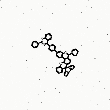 c1ccc(-c2nc(-c3ccc(-c4ccc5c(c4)nc(-c4ccccc4)c4ccc6c(c45)Oc4ccccc4C64c5ccccc5-c5ccccc54)cc3)c3ccccc3n2)cc1